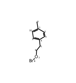 Cc1ccc(CCOBr)cc1